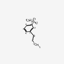 CCCc1cccc([Si](Cl)(Cl)Cl)c1